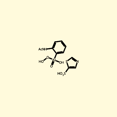 CC(=O)Nc1ccccc1[As](=O)(O)OO.O=S(=O)(O)c1cncs1